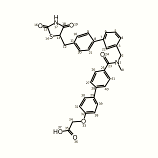 CN(Cc1cccc(-c2ccc(CC3SC(=O)NC3=O)cc2)c1)C(=O)c1ccc(-c2ccc(OCC(=O)O)cc2)cc1